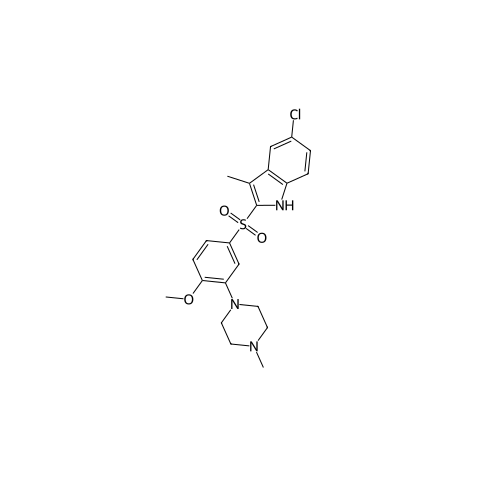 COc1ccc(S(=O)(=O)c2[nH]c3ccc(Cl)cc3c2C)cc1N1CCN(C)CC1